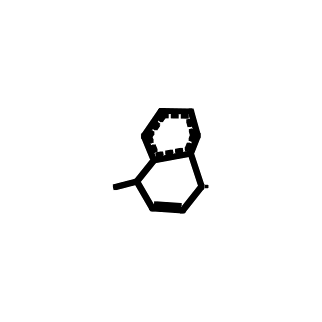 CC1C=C[CH]c2ccccc21